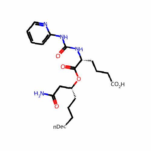 CCCCCCCCCCCCC[C@H](CC(N)=O)OC(=O)[C@@H](CCCC(=O)O)NC(=O)Nc1ccccn1